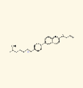 C=CCOc1ccc2cc(-c3ccc(/C=C/CCCC(C)O)cc3)ccc2c1